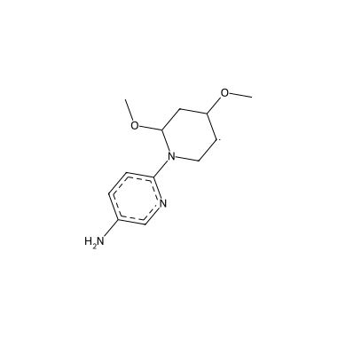 COC1[CH]CN(c2ccc(N)cn2)C(OC)C1